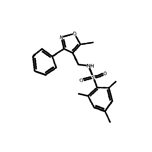 Cc1cc(C)c(S(=O)(=O)NCc2c(-c3ccccc3)noc2C)c(C)c1